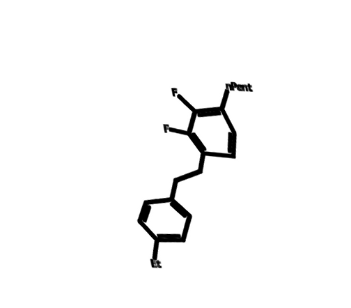 CCCCCc1ccc(CCc2ccc(CC)cc2)c(F)c1F